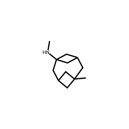 CNC12CC3CC(C)(C3)CC(C1)C2